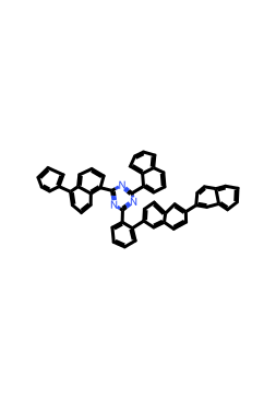 c1ccc(-c2cccc3c(-c4nc(-c5ccccc5-c5ccc6cc(-c7ccc8ccccc8c7)ccc6c5)nc(-c5cccc6ccccc56)n4)cccc23)cc1